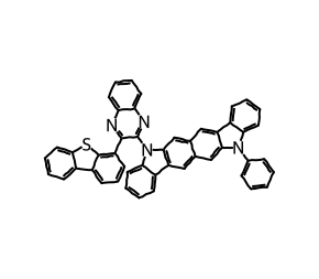 c1ccc(-n2c3ccccc3c3cc4cc5c(cc4cc32)c2ccccc2n5-c2nc3ccccc3nc2-c2cccc3c2sc2ccccc23)cc1